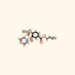 COc1ccc(C(=O)OCCC(C)C)cc1S(=O)(=O)N1CCOCC1